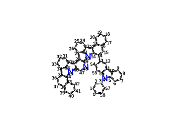 c1ccc(-n2c3ccccc3c3cc(-c4cc5ccccc5c5c6cccc7c8c9c%10cccc%11c%12ccc%13ccccc%13c%12n(c9cnc8n(c45)c76)c%11%10)ccc32)cc1